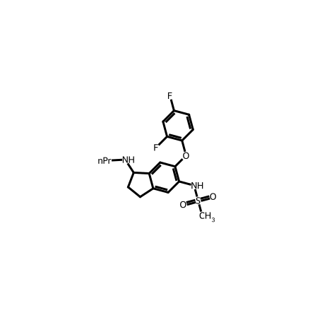 CCCNC1CCc2cc(NS(C)(=O)=O)c(Oc3ccc(F)cc3F)cc21